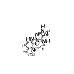 Clc1c(Nc2nc(NC3CC3)c3nc[nH]c3n2)ccc2cccnc12